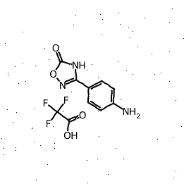 Nc1ccc(-c2noc(=O)[nH]2)cc1.O=C(O)C(F)(F)F